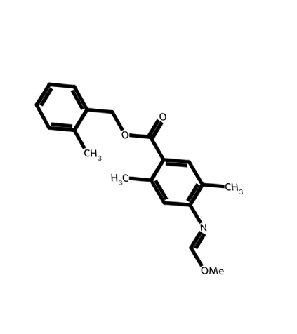 COC=Nc1cc(C)c(C(=O)OCc2ccccc2C)cc1C